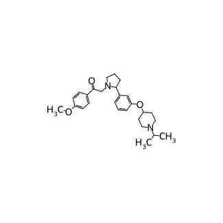 COc1ccc(C(=O)CN2CCCC2c2cccc(OC3CCN(C(C)C)CC3)c2)cc1